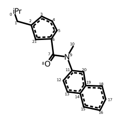 CC(C)Cc1cccc(C(=O)N(C)c2ccc3ccccc3c2)c1